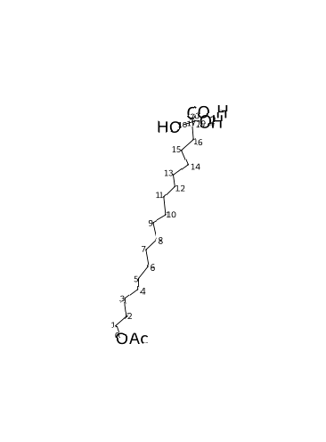 CC(=O)OCCCCCCCCCCCCCCCCC(O)(O)C(=O)O